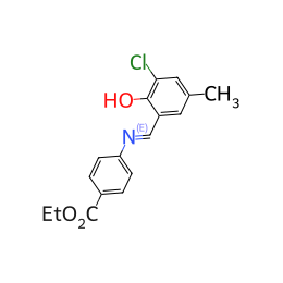 CCOC(=O)c1ccc(/N=C/c2cc(C)cc(Cl)c2O)cc1